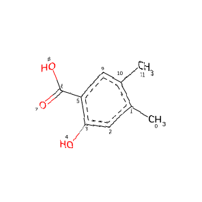 Cc1cc(O)c(C(=O)O)cc1C